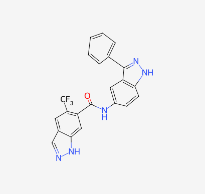 O=C(Nc1ccc2[nH]nc(-c3ccccc3)c2c1)c1cc2[nH]ncc2cc1C(F)(F)F